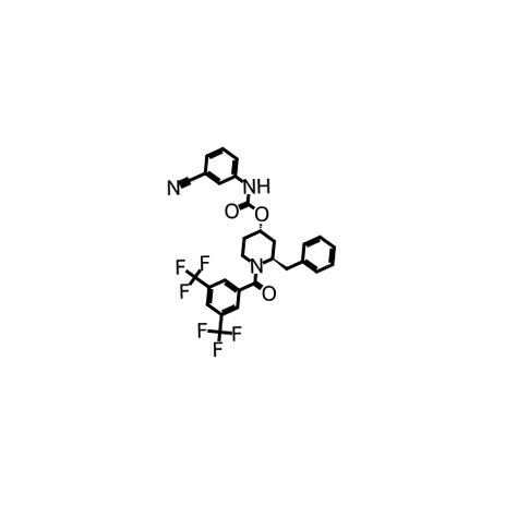 N#Cc1cccc(NC(=O)O[C@H]2CCN(C(=O)c3cc(C(F)(F)F)cc(C(F)(F)F)c3)[C@H](Cc3ccccc3)C2)c1